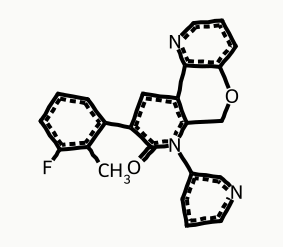 Cc1c(F)cccc1-c1cc2c(n(-c3cccnc3)c1=O)COc1cccnc1-2